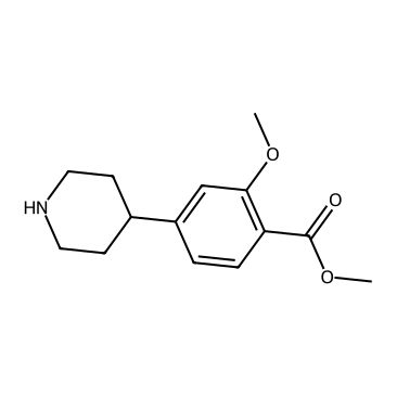 COC(=O)c1ccc(C2CCNCC2)cc1OC